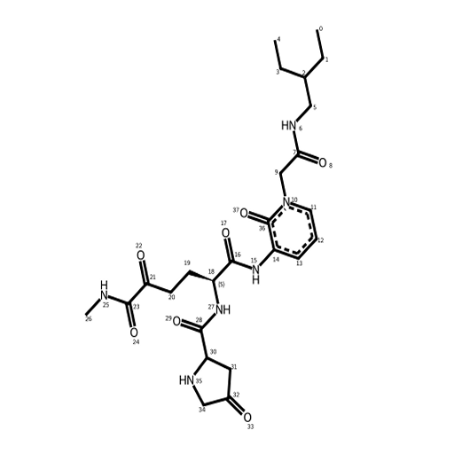 CCC(CC)CNC(=O)Cn1cccc(NC(=O)[C@H](CCC(=O)C(=O)NC)NC(=O)C2CC(=O)CN2)c1=O